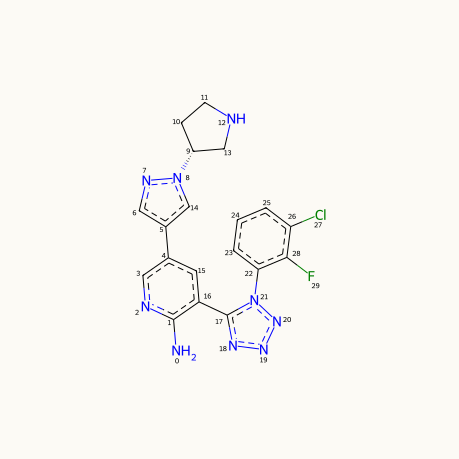 Nc1ncc(-c2cnn([C@@H]3CCNC3)c2)cc1-c1nnnn1-c1cccc(Cl)c1F